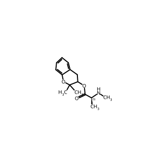 CN[C@@H](C)C(=O)OC1Cc2ccccc2OC1(C)C